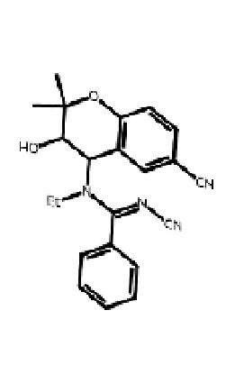 CCN(C(=NC#N)c1ccccc1)C1c2cc(C#N)ccc2OC(C)(C)C1O